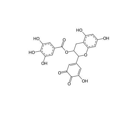 O=C1C=C(C2Oc3cc(O)cc(O)c3CC2OC(=O)c2cc(O)c(O)c(O)c2)C=C(O)C1=O